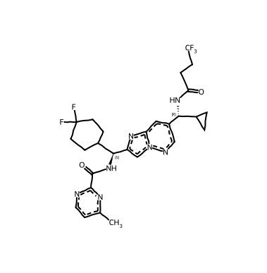 Cc1ccnc(C(=O)N[C@H](c2cn3ncc([C@H](NC(=O)CCC(F)(F)F)C4CC4)cc3n2)C2CCC(F)(F)CC2)n1